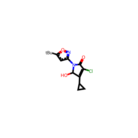 CC(C)(C)c1cc(N2C(=O)C(Cl)=C(C3CC3)C2O)no1